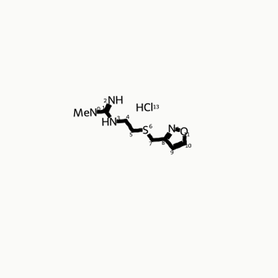 CNC(=N)NCCSCc1ccon1.Cl